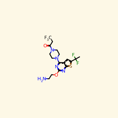 CC(F)(F)c1cc2c(N3CCN(C(=O)CC(F)(F)F)CC3)nc(OCCN)nc2s1